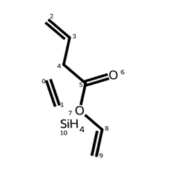 C=C.C=CCC(=O)OC=C.[SiH4]